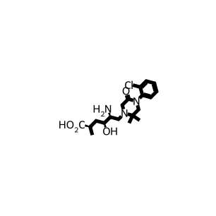 C[C@H](C[C@H](O)[C@@H](N)CN1CC(=O)N(c2ccccc2Cl)CC1(C)C)C(=O)O